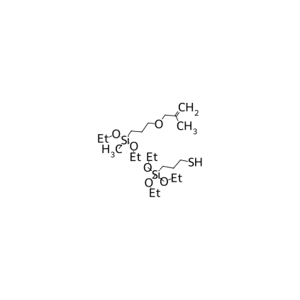 C=C(C)COCCC[Si](C)(OCC)OCC.CCO[Si](CCCS)(OCC)OCC